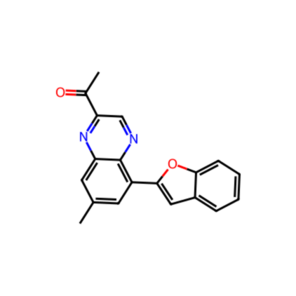 CC(=O)c1cnc2c(-c3cc4ccccc4o3)cc(C)cc2n1